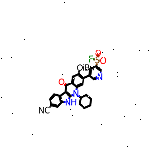 CC(C)COc1cc2c(=O)c3c4ccc(C#N)cc4[nH]c3n(C3CCCCC3)c2cc1-c1cncc(S(=O)(=O)F)c1